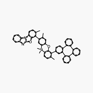 Cc1cc2c(cc1-c1c(C)ccc3c1oc1nc4ccccc4n13)[Si](C)(C)c1ccc(C)c(-c3ccc4c(c3)-c3ccccc3-c3ccccc3-c3ccccc3-4)c1O2